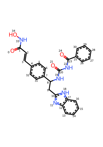 O=C(C=Cc1ccc(C(Cc2nc3ccccc3[nH]2)NC(=O)NC(=O)c2ccccc2)cc1)NO